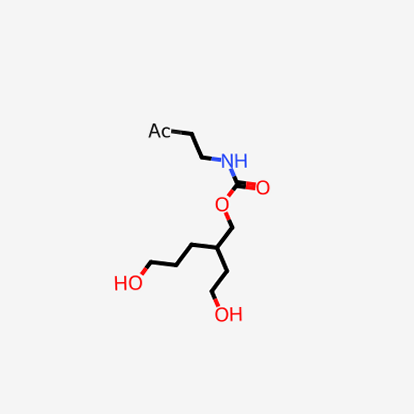 CC(=O)CCNC(=O)OCC(CCO)CCCO